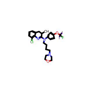 CC1Cc2cccc(Cl)c2N=C1N(CCCCN1CCOCC1)c1ccc(OC(F)(I)I)cc1